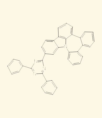 c1ccc(-c2nc(-c3ccccc3)nc(-c3ccc4c5cccc6c5n(c4c3)-c3ccccc3-c3ccccc3-6)n2)cc1